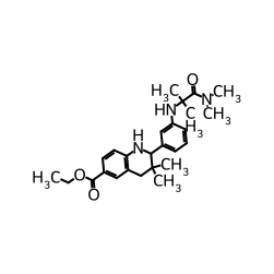 CCOC(=O)c1ccc2c(c1)CC(C)(C)C(c1cccc(NC(C)(C)C(=O)N(C)C)c1)N2